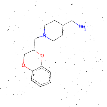 NCC1CCN(CC2COc3ccccc3O2)CC1